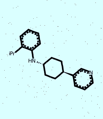 CC(C)c1ccccc1N[C@H]1CC[C@H](c2cccnc2)CC1